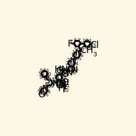 CC(c1cc(F)ccc1-c1ccc(Cl)cc1)N1CCC(N2CCc3c(ncnc3NS(=O)(=O)c3ccc(NC(CCN4CCOCC4)CSc4ccccc4)c(S(=O)(=O)C(F)(F)F)c3)C2)CC1